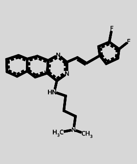 CN(C)CCCNc1nc(C=Cc2ccc(F)c(F)c2)nc2cc3ccccc3cc12